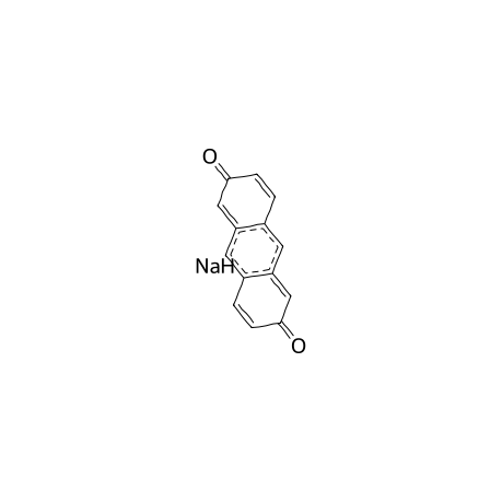 O=C1C=Cc2cc3c(cc2=C1)C=CC(=O)C=3.[NaH]